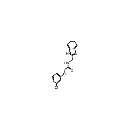 O=C(COc1cccc(Cl)c1)NCc1nc2ccccc2[nH]1